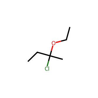 CCOC(C)(Cl)CC